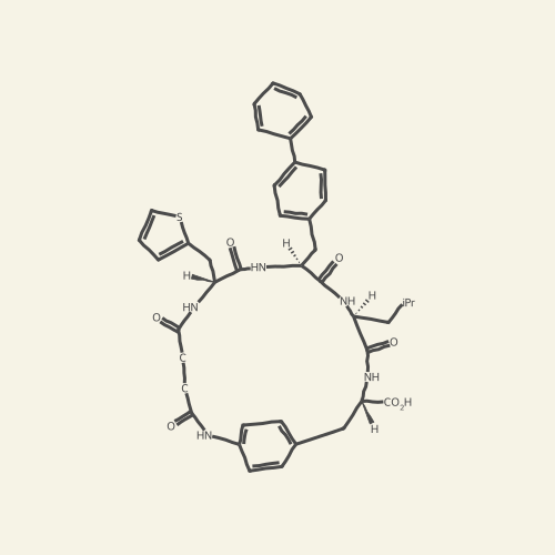 CC(C)C[C@@H]1NC(=O)[C@H](Cc2ccc(-c3ccccc3)cc2)NC(=O)[C@@H](Cc2cccs2)NC(=O)CCC(=O)Nc2ccc(cc2)C[C@@H](C(=O)O)NC1=O